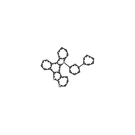 c1ccc(-c2cccc(-n3c4ccccc4c4c5ccccc5c5sc6ncccc6c5c43)c2)cc1